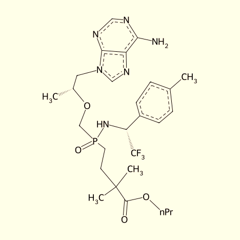 CCCOC(=O)C(C)(C)CCP(=O)(CO[C@H](C)Cn1cnc2c(N)ncnc21)N[C@H](c1ccc(C)cc1)C(F)(F)F